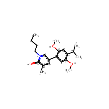 CCCCn1cc(-c2cc(OC)c(C(C)C)cc2OC)cc(C)c1=O